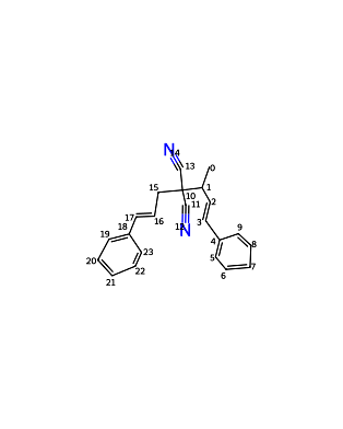 CC(/C=C/c1ccccc1)C(C#N)(C#N)CC=Cc1ccccc1